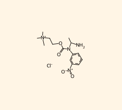 CC(N)N(C(=O)OCC[N+](C)(C)C)c1cccc([N+](=O)[O-])c1.[Cl-]